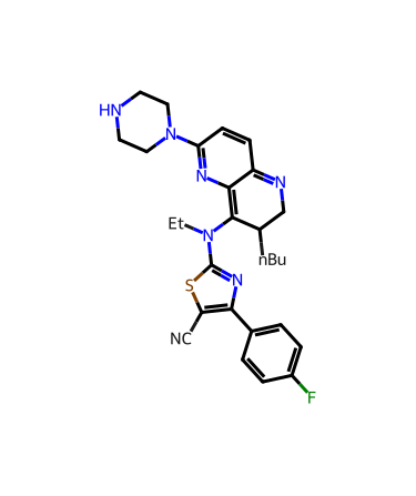 CCCCC1CN=c2ccc(N3CCNCC3)nc2=C1N(CC)c1nc(-c2ccc(F)cc2)c(C#N)s1